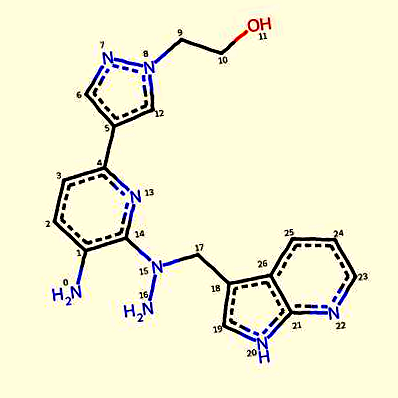 Nc1ccc(-c2cnn(CCO)c2)nc1N(N)Cc1c[nH]c2ncccc12